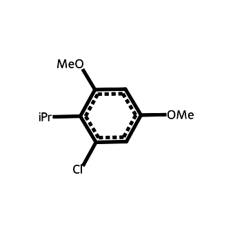 COc1cc(Cl)c(C(C)C)c(OC)c1